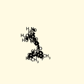 CC[C@@]1(O)C(=O)OCc2c1cc1n(c2=O)Cc2c-1nc1cc(F)c(C)c3c1c2[C@@H](NC(=O)OCc1ccc(NC(=O)[C@H](CCCNC(N)=O)NC(=O)[C@@H](NC(=O)O)C(C)C)cc1)CC3